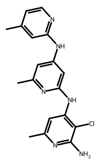 Cc1ccnc(Nc2cc(C)nc(Nc3cc(C)nc(N)c3Cl)c2)c1